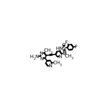 COc1ncc(C#Cc2c(C)nc(N)nc2-c2ccnc(C)c2)cc1NS(=O)(=O)c1ccc(F)cc1F